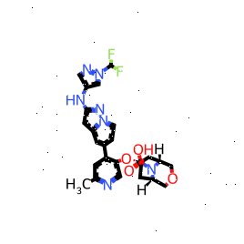 Cc1cc(-c2ccn3nc(Nc4cnn(C(F)F)c4)cc3c2)c(O[C@H]2C[C@H]3COC[C@@H](C2)N3C(=O)O)cn1